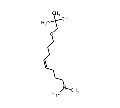 CN(C)CCC/C=C\CCCOCC(C)(C)C